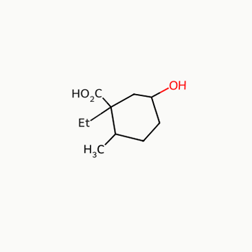 CCC1(C(=O)O)CC(O)CCC1C